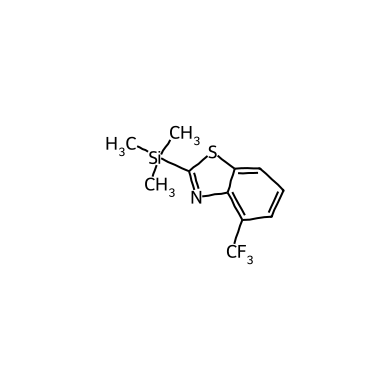 C[Si](C)(C)c1nc2c(C(F)(F)F)cccc2s1